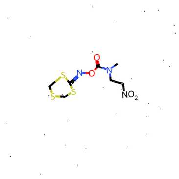 CN(CC[N+](=O)[O-])C(=O)ON=C1SCSCS1